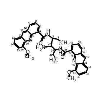 CCC(NC(=O)c1cccc2cc3cccc(OC)c3nc12)C(N)C(CC)NC(=O)c1cccc2cc3cccc(OC)c3nc12